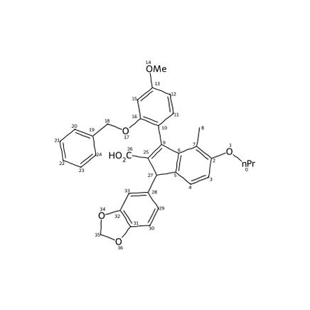 CCCOc1ccc2c(c1C)C(c1ccc(OC)cc1OCc1ccccc1)=C(C(=O)O)C2c1ccc2c(c1)OCO2